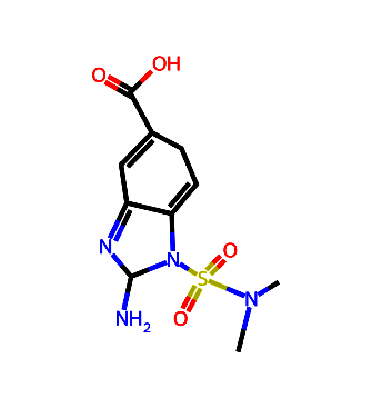 CN(C)S(=O)(=O)N1C2=CCC(C(=O)O)=CC2=NC1N